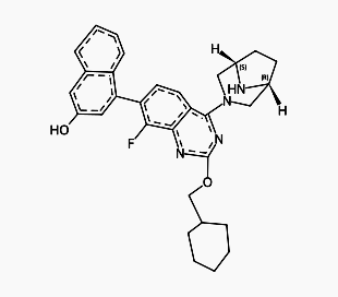 Oc1cc(-c2ccc3c(N4C[C@H]5CC[C@@H](C4)N5)nc(OCC4CCCCC4)nc3c2F)c2ccccc2c1